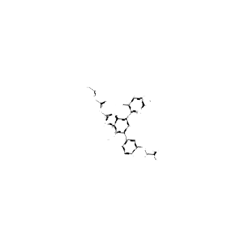 CCNC(=O)Nc1nc2c(F)c(-c3cccc(OCC(=O)[O-])c3)cc(-c3ncccc3F)c2s1.[Li+]